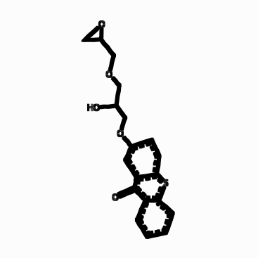 O=c1c2ccccc2sc2ccc(OCC(O)COCC3CO3)cc12